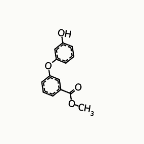 COC(=O)c1cccc(Oc2cccc(O)c2)c1